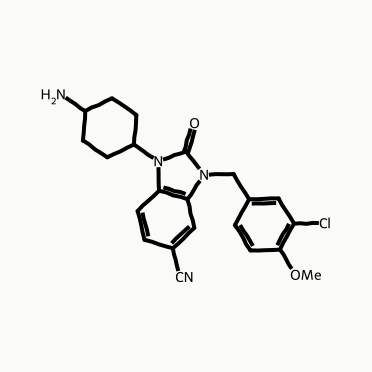 COc1ccc(Cn2c(=O)n(C3CCC(N)CC3)c3ccc(C#N)cc32)cc1Cl